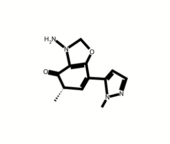 C[C@H]1C=C(c2ccnn2C)C2=C(C1=O)N(N)CO2